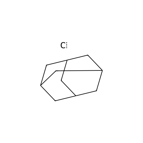 C1C2CC3CC1CC(C2)C3.[C]